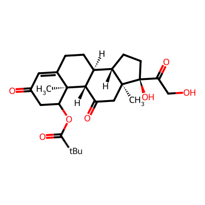 CC(C)(C)C(=O)OC1CC(=O)C=C2CC[C@H]3[C@@H]4CC[C@](O)(C(=O)CO)[C@@]4(C)CC(=O)[C@@H]3[C@]21C